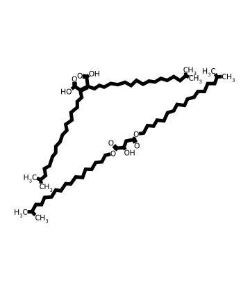 CC(C)CCCCCCCCCCCCCCC/C(C(=O)O)=C(\CCCCCCCCCCCCCCCC(C)C)C(=O)O.CC(C)CCCCCCCCCCCCCCCOC(=O)CC(O)C(=O)OCCCCCCCCCCCCCCCC(C)C